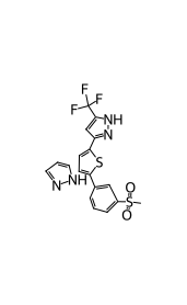 CS(=O)(=O)c1cccc(-c2ccc(-c3cc(C(F)(F)F)[nH]n3)s2)c1.c1cn[nH]c1